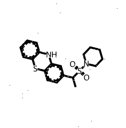 CC(c1ccc2c(c1)Nc1ccccc1S2)S(=O)(=O)N1C[CH]CCC1